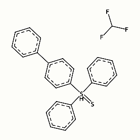 FC(F)F.S=[SH](c1ccccc1)(c1ccccc1)c1ccc(-c2ccccc2)cc1